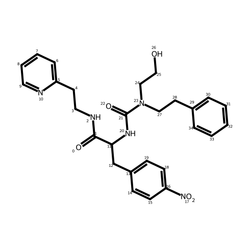 O=C(NCCc1ccccn1)C(Cc1ccc([N+](=O)[O-])cc1)NC(=O)N(CCO)CCc1ccccc1